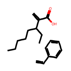 C=C(C(=O)O)C(CC)CCCCC.C=Cc1ccccc1